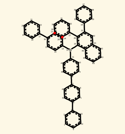 c1ccc(-c2ccc(-c3ccc(N(c4ccc(-c5ccccc5)cc4)c4c(-c5ccccc5)c(-c5ccccc5)cc5ccccc45)cc3)cc2)cc1